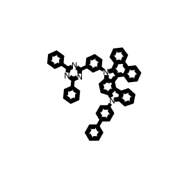 c1ccc(-c2ccc(-n3c4ccccc4c4c5c6c7ccccc7c7ccccc7c6n(-c6cccc(-c7nc(-c8ccccc8)nc(-c8ccccc8)n7)c6)c5ccc43)cc2)cc1